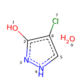 O.Oc1n[nH]cc1Cl